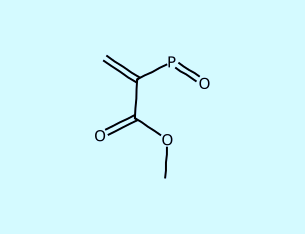 C=C(P=O)C(=O)OC